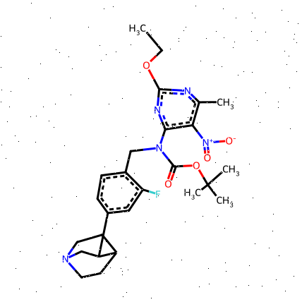 CCOc1nc(C)c([N+](=O)[O-])c(N(Cc2ccc(C3CN4CCC3CC4)cc2F)C(=O)OC(C)(C)C)n1